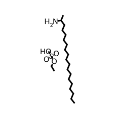 CCCCCCCCCCCCCCCCCC(C)N.CCOS(=O)(=O)O